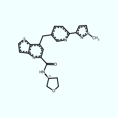 Cn1ccc(-c2ccc(Cc3cc(C(=O)N[C@H]4CCOC4)nc4ccsc34)cn2)n1